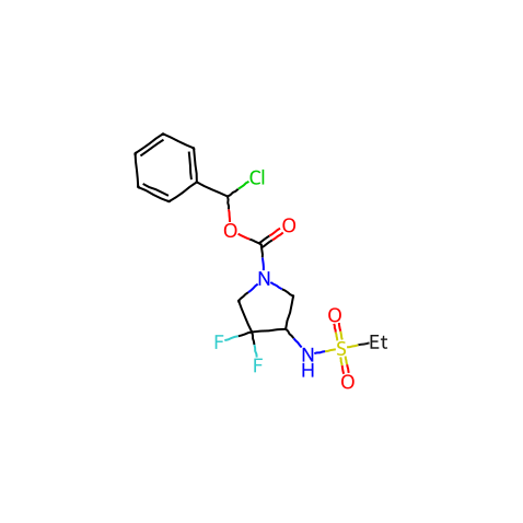 CCS(=O)(=O)NC1CN(C(=O)OC(Cl)c2ccccc2)CC1(F)F